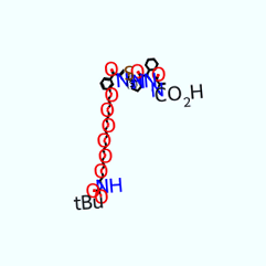 CC(C(=O)NC(C(=O)N1CCC[C@H]1c1nc(C(=O)c2cccc(OCCOCCOCCOCCOCCOCCNC(=O)OC(C)(C)C)c2)cs1)C1CCCCC1)N(C)C(=O)O